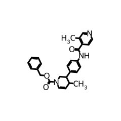 Cc1cnccc1C(=O)Nc1ccc(C2CN(C(=O)OCc3ccccc3)C=CC2C)cc1